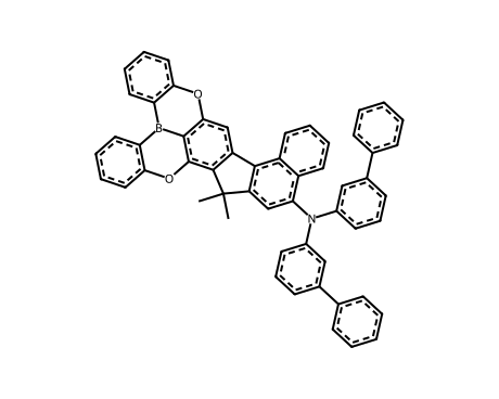 CC1(C)c2cc(N(c3cccc(-c4ccccc4)c3)c3cccc(-c4ccccc4)c3)c3ccccc3c2-c2cc3c4c(c21)Oc1ccccc1B4c1ccccc1O3